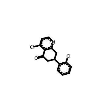 O=C1CC(c2ccccc2Cl)Cc2nccc(Cl)c21